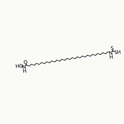 O=C(CCCCCCCCCCCCCCCCCCCCCCCCCCCCCCCCNC(=S)S)NO